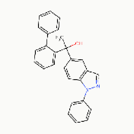 OC(c1ccc2c(cnn2-c2ccccc2)c1)(c1ccccc1-c1ccccc1)C(F)(F)F